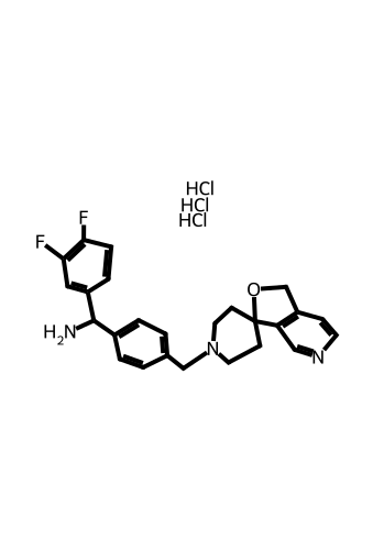 Cl.Cl.Cl.NC(c1ccc(CN2CCC3(CC2)OCc2ccncc23)cc1)c1ccc(F)c(F)c1